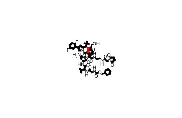 CC(C)C(NC(=O)CNC(=O)OCc1ccccc1)C(=O)N[C@@H](CC(N)=O)C(=O)N[C@@H](CCN(C(=O)CO)[C@@H](c1cc(-c2cc(F)ccc2F)cn1Cc1ccccc1)C(C)(C)C)C(=O)NCCNC(=O)CN1C(=O)C=CC1=O